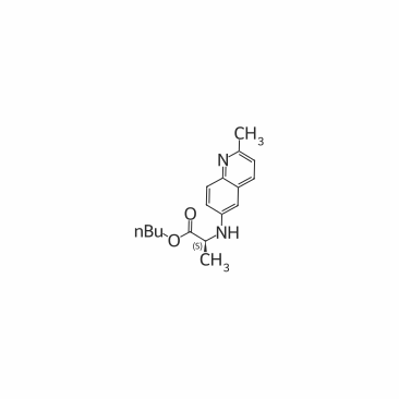 CCCCOC(=O)[C@H](C)Nc1ccc2nc(C)ccc2c1